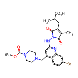 CC1=C(CC(C)C(=O)O)C(=O)N(Nc2cc(CN3CCN(C(=O)OC(C)(C)C)CC3)c3ccc(Br)cc3n2)C1=O